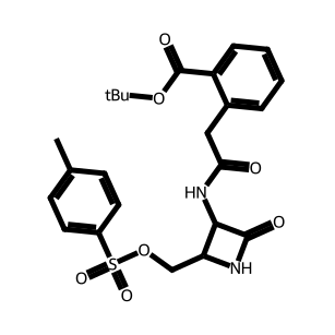 Cc1ccc(S(=O)(=O)OCC2NC(=O)C2NC(=O)Cc2ccccc2C(=O)OC(C)(C)C)cc1